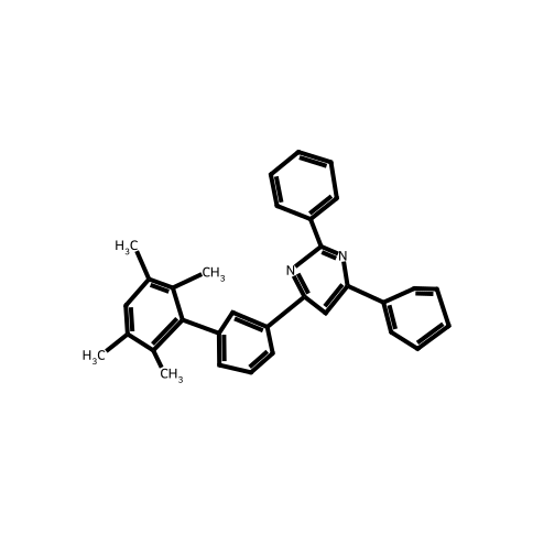 Cc1cc(C)c(C)c(-c2cccc(-c3cc(-c4ccccc4)nc(-c4ccccc4)n3)c2)c1C